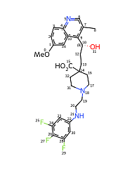 COc1ccc2ncc(C)c([C@H](O)CCC3(C(=O)O)CCN(CCNc4cc(F)c(F)c(F)c4)CC3)c2c1